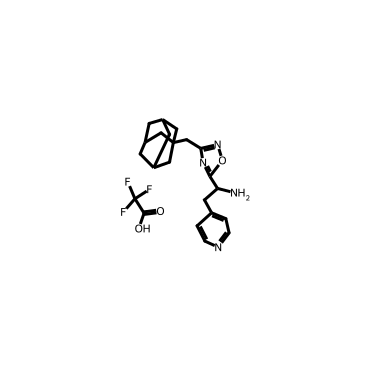 NC(Cc1ccncc1)c1nc(CC23CC4CC(CC(C4)C2)C3)no1.O=C(O)C(F)(F)F